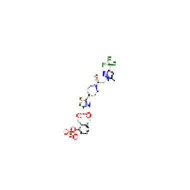 Cc1cc(C(F)(F)F)nn1CC(=S)N1CCC(c2nc(C3OCc4cccc(OS(C)(=O)=O)c4CO3)cs2)CC1